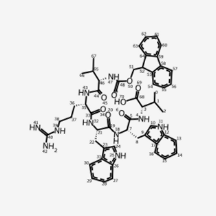 CC(C)[C@H](NC(=O)[C@H](Cc1c[nH]c2ccccc12)NC(=O)[C@H](Cc1c[nH]c2ccccc12)NC(=O)[C@H](CCCNC(=N)N)NC(=O)[C@@H](NC(=O)OCC1c2ccccc2-c2ccccc21)C(C)C)C(=O)O